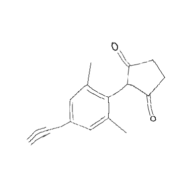 C#Cc1cc(C)c(C2C(=O)CCC2=O)c(C)c1